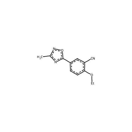 CCOc1ccc(-c2nc(C)no2)cc1C#N